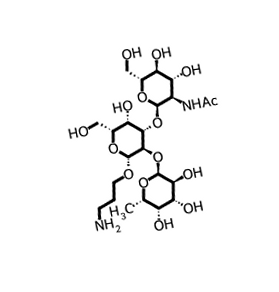 CC(=O)N[C@H]1[C@@H](O[C@H]2[C@@H](O)[C@@H](CO)O[C@@H](OCCCN)[C@@H]2O[C@@H]2O[C@@H](C)[C@@H](O)[C@@H](O)[C@@H]2O)O[C@H](CO)[C@@H](O)[C@@H]1O